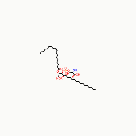 CCCCC/C=C\C/C=C\CCCCCCCC(=O)O[C@@H](CO)C(OP(=O)(O)OC[C@H](N)C(=O)O)C(=O)CCCCCCCCCCCCCCC